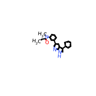 C=CC(=O)N(C)c1cccc(-c2cnc3[nH]cc(-c4ccccc4)c3c2)c1